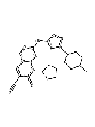 CN1CCC(n2cc(Nc3ncc4cc(C#N)c(=O)n(C5CCCC5)c4n3)cn2)CC1